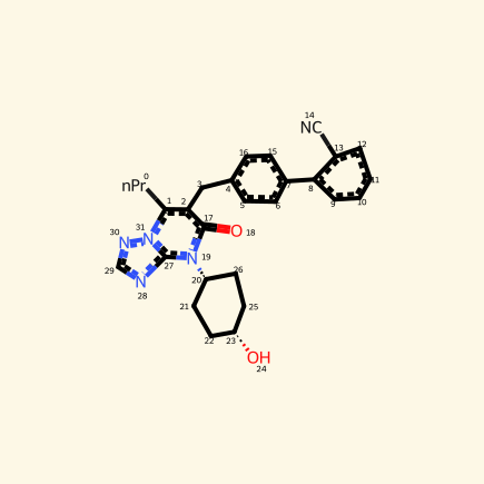 CCCc1c(Cc2ccc(-c3ccccc3C#N)cc2)c(=O)n([C@H]2CC[C@@H](O)CC2)c2ncnn12